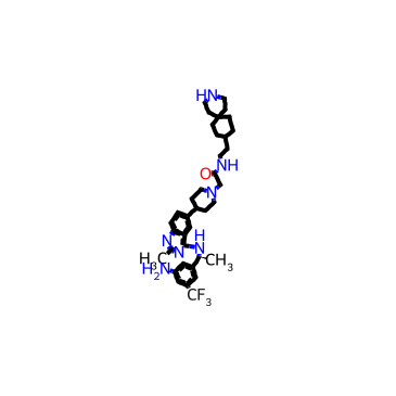 Cc1nc(N[C@H](C)c2cc(N)cc(C(F)(F)F)c2)c2cc(C3CCN(CC(=O)NCCC4CCC5(CCNCC5)CC4)CC3)ccc2n1